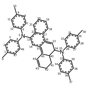 Cc1ccc(N(c2ccc(C)cc2)c2cc3c(c4ccccc24)=CC(N(c2ccc(C)cc2)c2ccc(C)cc2)C2CCC=CC=32)cc1